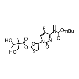 CCCCOC(=O)Nc1nc(=O)n([C@H]2CS[C@H](OC(=O)C(C)(CO)C(C)O)O2)cc1F